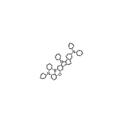 c1ccc(N(c2ccccc2)c2ccc3c(ccc4c5cc6c(cc5n(-c5ccccc5)c34)B3c4ccccc4N(c4ccccc4)c4cccc(c43)O6)c2)cc1